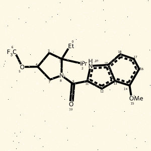 CCC1(C(C)C)CC(OC(F)(F)F)CN1C(=O)c1cc2c(OC)cccc2[nH]1